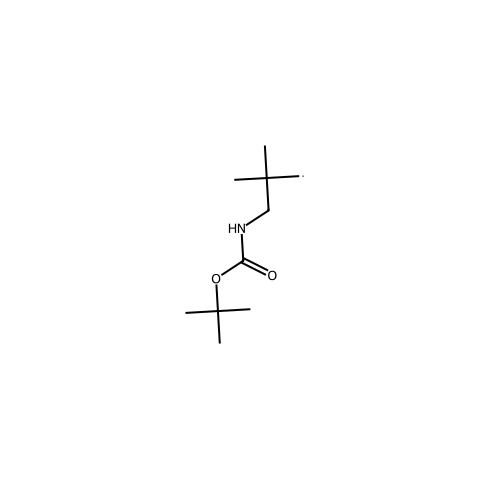 [CH2]C(C)(C)CNC(=O)OC(C)(C)C